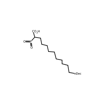 CCCCCCCCCCCCCCCCCCCCC(C(=O)O)P(=O)=O